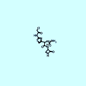 NC(=O)NC(C(=O)NC1CNC1=O)c1csc(NC(=O)CCl)n1